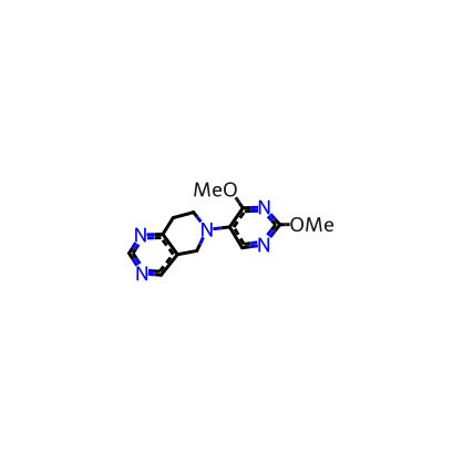 COc1ncc(N2CCc3ncncc3C2)c(OC)n1